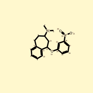 C[N+](C)C1CCc2ccccc2C(Oc2cccc([N+](=O)[O-])c2)C1